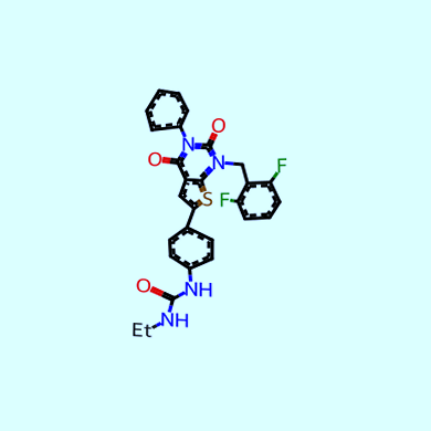 CCNC(=O)Nc1ccc(-c2cc3c(=O)n(-c4ccccc4)c(=O)n(Cc4c(F)cccc4F)c3s2)cc1